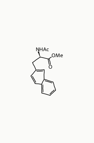 COC(=O)[C@@H](Cc1ccc2ccccc2c1)NC(C)=O